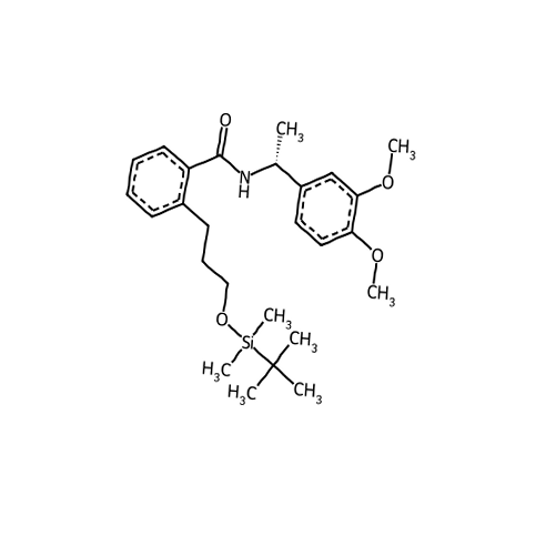 COc1ccc([C@@H](C)NC(=O)c2ccccc2CCCO[Si](C)(C)C(C)(C)C)cc1OC